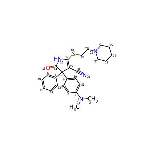 CN(C)c1ccc(C2(c3ccccc3)C(=O)NC(SCCN3CCCCC3)=C2C#N)cc1